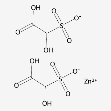 O=C(O)C(O)S(=O)(=O)[O-].O=C(O)C(O)S(=O)(=O)[O-].[Zn+2]